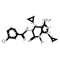 CCN1C(=O)[C@H](NC(=O)c2cccc(C(F)(F)F)c2)[C@H](C2CC2)c2c(C(=O)O)nn(C3CC3)c21